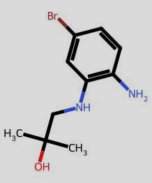 CC(C)(O)CNc1cc(Br)ccc1N